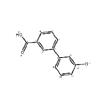 O=C(O)c1cccc(-c2cccc(Cl)c2)c1